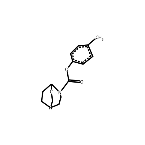 Cc1ccc(OC(=O)N2CCN3CCC2CC3)cc1